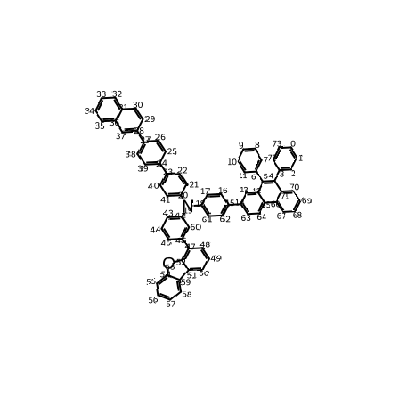 c1ccc(-c2c(-c3ccccc3)c3cc(-c4ccc(N(c5ccc(-c6ccc(-c7ccc8ccccc8c7)cc6)cc5)c5cccc(-c6cccc7c6oc6ccccc67)c5)cc4)ccc3c3ccccc23)cc1